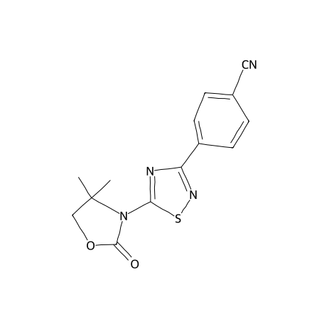 CC1(C)COC(=O)N1c1nc(-c2ccc(C#N)cc2)ns1